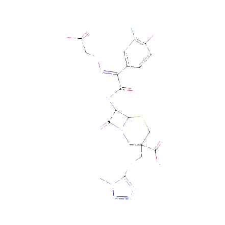 Cn1nnnc1SCC1(C(=O)O)CS[C@@H]2C(NC(=O)C(=NOCC(=O)O)c3ccc(O)c(Cl)c3)C(=O)N2C1